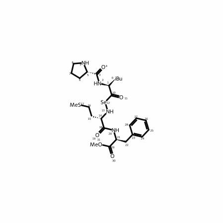 CC[C@H](C)[C@H](NC(=O)[C@@H]1CCCN1)C(=O)[Se]N[C@@H](CCSC)C(=O)N[C@@H](Cc1ccccc1)C(=O)OC